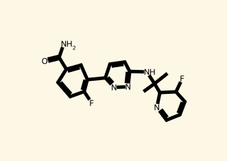 CC(C)(Nc1ccc(-c2cc(C(N)=O)ccc2F)nn1)C1N=CC=CC1F